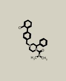 CN(C)C(=O)N1CCN(Cc2ccc(C3=CCCC=C3Cl)cc2)CC1c1ccccc1